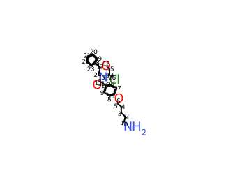 NCCCCCOc1ccc(C(=O)N2CCOC(c3ccccc3)C2)c(Cl)c1